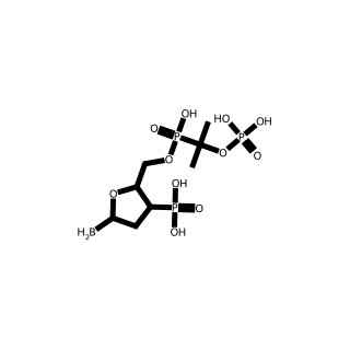 BC1CC(P(=O)(O)O)C(COP(=O)(O)C(C)(C)OP(=O)(O)O)O1